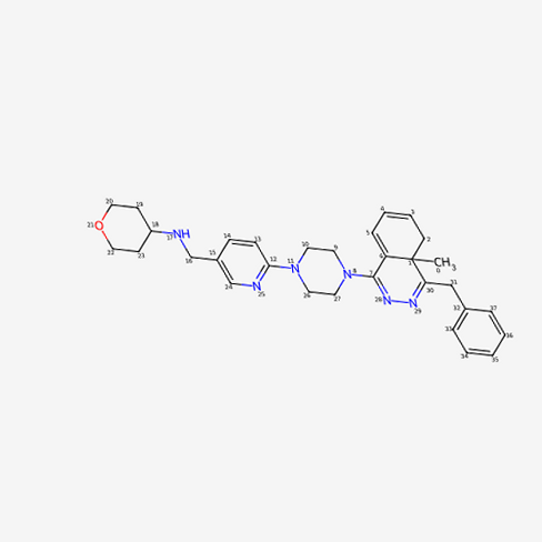 CC12CC=CC=C1C(N1CCN(c3ccc(CNC4CCOCC4)cn3)CC1)=NN=C2Cc1ccccc1